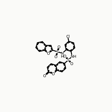 O=c1ccc2cc(S(=O)(=O)Nc3ccc(Cl)cc3NS(=O)(=O)c3cc4ccccc4o3)ccc2o1